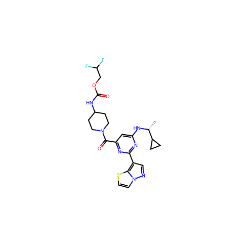 C[C@@H](Nc1cc(C(=O)N2CCC(NC(=O)OCC(F)F)CC2)nc(-c2cnn3ccsc23)n1)C1CC1